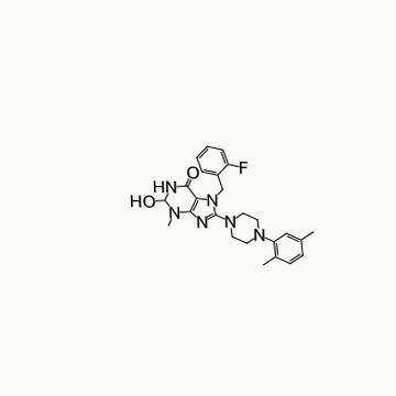 Cc1ccc(C)c(N2CCN(c3nc4c(n3Cc3ccccc3F)C(=O)NC(O)N4C)CC2)c1